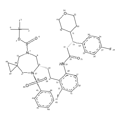 CC(C)(C)OC(=O)N1C[C@H](CCc2c(F)cccc2NC(=O)C[C@@H](c2ccc(F)cc2)C2CCOCC2)N(S(=O)(=O)c2ccccc2)CC2(CC2)C1